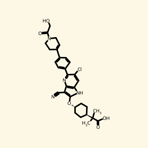 CC(C)(C(=O)O)[C@H]1CC[C@H](Oc2[nH]c3cc(Cl)c(-c4ccc(C5=CCN(C(=O)CO)CC5)cc4)nc3c2C#N)CC1